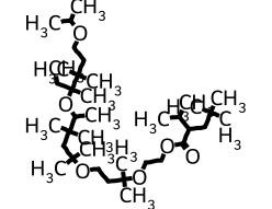 CCC(C)(OC(C)C(C)(C)CC(C)(C)OCCC(C)(C)OCCOC(=O)C(CC(C)(C)C)C(C)C)C(C)(C)CCOC(C)C